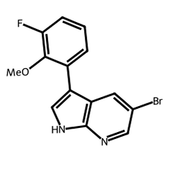 COc1c(F)cccc1-c1c[nH]c2ncc(Br)cc12